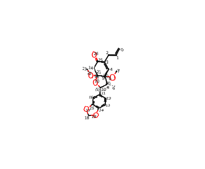 C=CCC1=C[C@]2(OC)[C@H](C)[C@@H](c3ccc4c(c3)OCO4)O[C@]2(OC)CC1=O